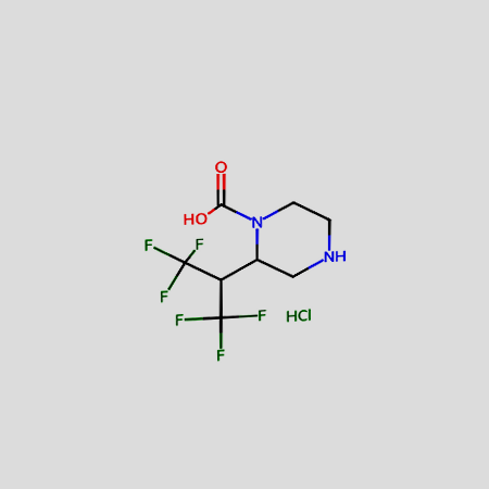 Cl.O=C(O)N1CCNCC1C(C(F)(F)F)C(F)(F)F